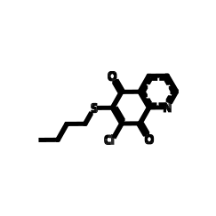 CCCCSC1=C(Cl)C(=O)c2ncccc2C1=O